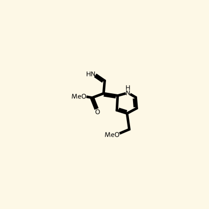 COCC1=C/C(=C(/C=N)C(=O)OC)NC=C1